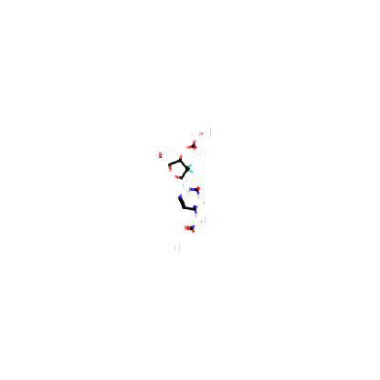 CC(C)(C)OC(=O)Nc1ccn([C@@H]2O[C@H](CO)C(OC(=O)OC(C)(C)C)C2(F)F)c(=O)n1